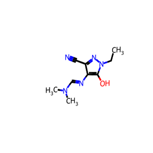 CCn1nc(C#N)c(N=CN(C)C)c1O